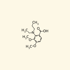 CCCN(CC)c1c(C(=O)O)ccc(OC)c1OC